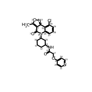 Cc1onc2c1c(=O)n(C1CCCC(NC(=O)COc3ccncc3)C1)c1cccc(Cl)c21